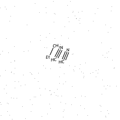 C#N.C#N.CCC